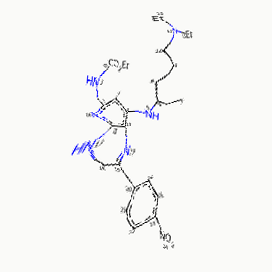 CCOC(=O)Nc1cc(NC(C)CCCN(CC)CC)c2c(n1)NCC(c1ccc([N+](=O)[O-])cc1)=N2